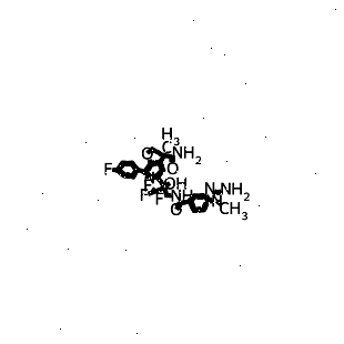 Cn1c(N)nc2cc(C(=O)NCC(O)(c3cc4c(c(-c5ccc(F)cc5)n3)OC[C@]4(C)C(N)=O)C(F)(F)F)ccc21